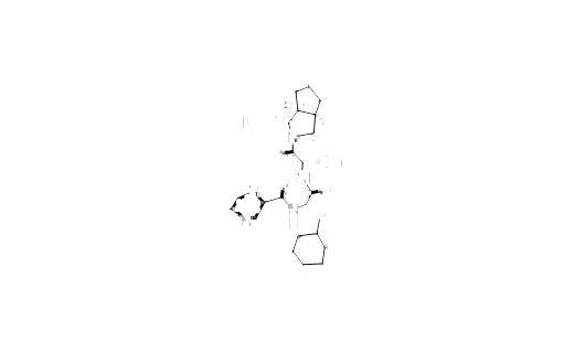 CC(C)(C)[C@H](NC(=O)[C@H](CC1CCCCC1)NC(=O)c1cnccn1)C(=O)N1C[C@@H]2CCC[C@@H]2[C@H]1C(=O)O